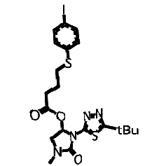 CN1CC(OC(=O)CCCSc2ccc(I)cc2)N(c2nnc(C(C)(C)C)s2)C1=O